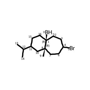 B[C@@]12CCC(Br)CC[C@]1(C)CC(C(C)C)CC2